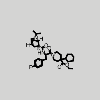 CCOC(=O)C1(C2CCCCC2)CCN(C(=O)C(Cc2ccc(F)cc2)NC(=O)[C@H]2C[C@H]3C[C@@H]2N(C(C)C)C3)CC1